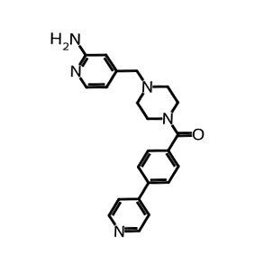 Nc1cc(CN2CCN(C(=O)c3ccc(-c4ccncc4)cc3)CC2)ccn1